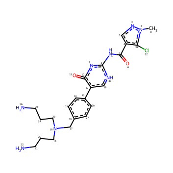 Cn1ncc(C(=O)Nc2nc(=O)c(-c3ccc(CN(CCCN)CCCN)cc3)c[nH]2)c1Cl